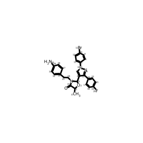 CC1OC(c2cn(-c3ccc(Br)cc3)nc2-c2ccc(F)cc2)N(CCc2ccc(N)cc2)C1=O